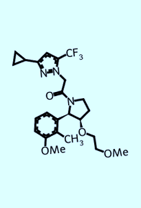 COCCO[C@@H]1CCN(C(=O)Cn2nc(C3CC3)cc2C(F)(F)F)[C@@H]1c1cccc(OC)c1C